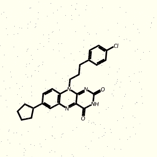 O=c1nc2n(CCCc3ccc(Cl)cc3)c3ccc(C4CCCC4)cc3nc-2c(=O)[nH]1